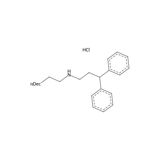 CCCCCCCCCCCCNCCC(c1ccccc1)c1ccccc1.Cl